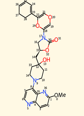 COc1ccc2nccc(N3CCC(O)(C[C@H]4CN(C5=COC=C(C6=CC=CCC6)O5)C(=O)O4)CC3)c2n1